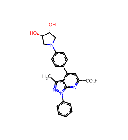 Cc1nn(-c2ccccc2)c2nc(C(=O)O)cc(-c3ccc(N4C[C@@H](O)[C@H](O)C4)cc3)c12